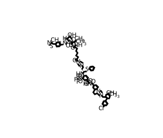 Cc1ncsc1-c1ccc(CNC(=O)[C@@H]2C[C@@H](O)CN2C(=O)[C@@H](NC(=O)CCCCCC(=O)N2CCN(CC[C@H](CSc3ccccc3)Nc3ccc(S(=O)(=O)NC(=O)c4ccc5c(c4)CCC4CN(CC6=C(c7ccc(Cl)cc7)CCC(C)(C)C6)CCN54)cc3S(=O)(=O)C(F)(F)F)CC2)C(C)(C)C)cc1